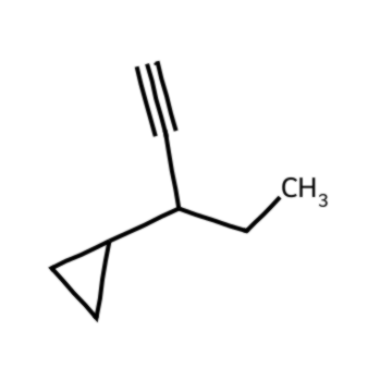 [C]#CC(CC)C1CC1